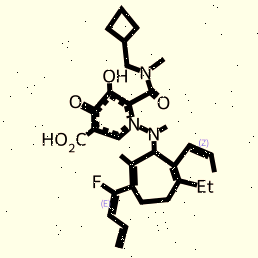 C=C/C=C(/F)C1=C(C)C(N(C)n2cc(C(=O)O)c(=O)c(O)c2C(=O)N(C)CC2CCC2)C(/C=C\C)=C(CC)CC1